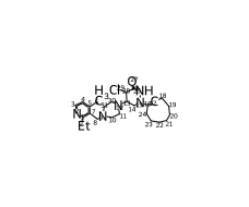 CCc1nccc(C)c1CN1CCN(C2CN(C3CCCCCCCC3)NC(=O)C2Cl)CC1